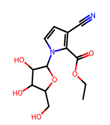 CCOC(=O)c1c(C#N)ccn1C1OC(CO)C(O)C1O